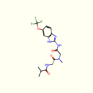 CC(C)C(=O)NCC(=O)N(C)CC(=O)Nc1nc2ccc(OC(F)(F)F)cc2[nH]1